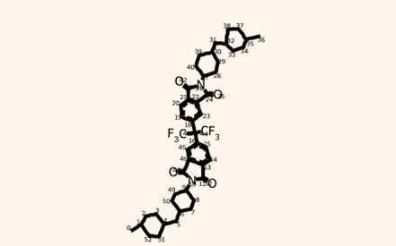 CC1CCC(CC2CCC(N3C(=O)c4ccc(C(c5ccc6c(c5)C(=O)N(C5CCC(CC7CCC(C)CC7)CC5)C6=O)(C(F)(F)F)C(F)(F)F)cc4C3=O)CC2)CC1